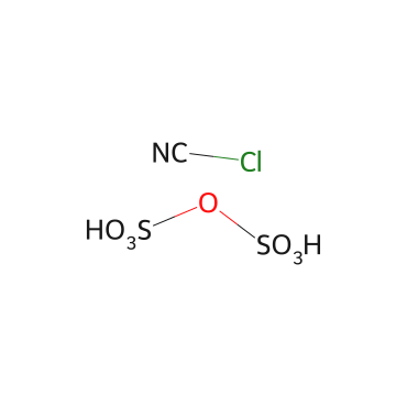 N#CCl.O=S(=O)(O)OS(=O)(=O)O